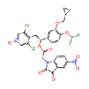 O=C(CN1C(=O)C(=O)c2cc([N+](=O)[O-])ccc21)O[C@@H](Cc1c(Cl)c[n+]([O-])cc1Cl)c1ccc(OC(F)F)c(OCC2CC2)c1